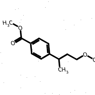 COCCC(C)c1ccc(C(=O)OC)cc1